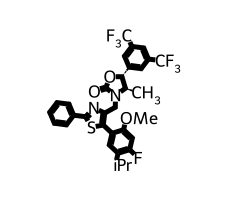 COc1cc(F)c(C(C)C)cc1-c1sc(-c2ccccc2)nc1CN1C(=O)O[C@H](c2cc(C(F)(F)F)cc(C(F)(F)F)c2)[C@@H]1C